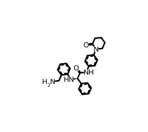 NCc1ccccc1N[C@@H](C(=O)Nc1ccc(N2CCCCC2=O)cc1)c1ccccc1